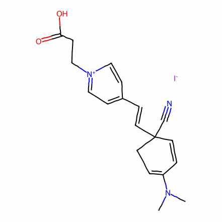 CN(C)C1=CCC(C#N)(C=Cc2cc[n+](CCC(=O)O)cc2)C=C1.[I-]